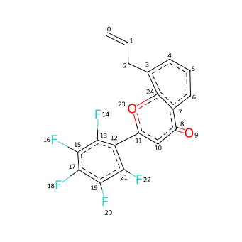 C=CCc1cccc2c(=O)cc(-c3c(F)c(F)c(F)c(F)c3F)oc12